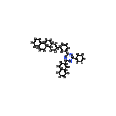 c1ccc(-c2nc(-c3cccc(-c4ccc5c(ccc6c7ccccc7ccc56)c4)c3)nc(-c3ccc4ccccc4c3)n2)cc1